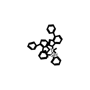 CC1=Cc2c(-c3ccccc3)cccc2[CH]1[Ti]([CH3])([CH3])([CH]1C(C)=Cc2c(-c3ccccc3)cccc21)[SiH](c1ccccc1)c1ccccc1